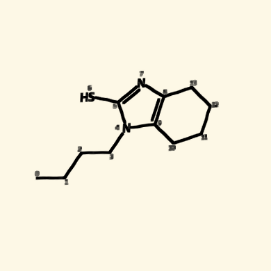 CCCCn1c(S)nc2c1CCCC2